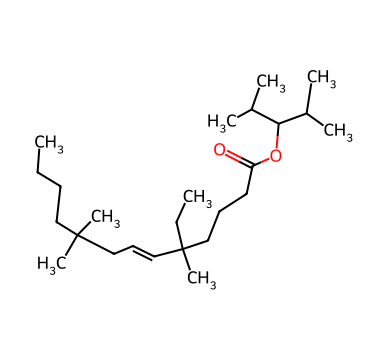 CCCCC(C)(C)C/C=C/C(C)(CC)CCCC(=O)OC(C(C)C)C(C)C